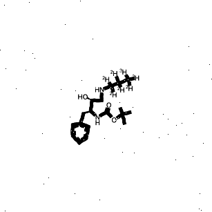 [2H]C([2H])([2H])C([2H])([2H])C([2H])([2H])NC[C@@H](O)[C@H](Cc1ccccc1)NC(=O)OC(C)(C)C